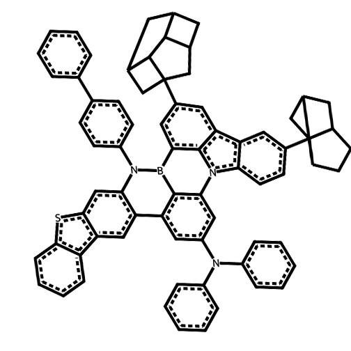 c1ccc(-c2ccc(N3B4c5c(cc(N(c6ccccc6)c6ccccc6)cc5-n5c6ccc(C78CC9CC7CCC98)cc6c6cc(C78CC9CC%10CC(C7)C8C%109)cc4c65)-c4cc5c(cc43)sc3ccccc35)cc2)cc1